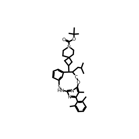 Cc1cccc(C)c1-c1nc2nc(c1C)OCC(CC(C)C)C(C1CC3(CCN(C(=O)OC(C)(C)C)CC3)C1)c1cccc(c1)SN2